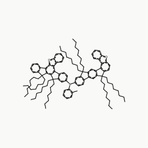 CCCCCCCCC1(CCCCCCCC)c2cc(N(c3ccc4c(c3)C(CCCCCCC)(CCCCCCC)c3c5c(c6oc7ccccc7c6c3-4)-c3ccccc3C5(CCCCCCC)CCCCCCC)c3ccccc3C)ccc2-c2cc3c(cc21)-c1c(ccc2oc4ccccc4c12)C3(CCCCCCCC)CCCCCCCC